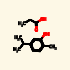 CCC(=O)O.Cc1ccc(C(C)C)cc1O